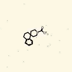 O=C(N1CCC2(CCCc3ccccc32)CC1)C(F)(F)F